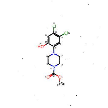 CC(C)(C)OC(=O)N1CCN(c2cc(Cl)c(Cl)cc2O)CC1